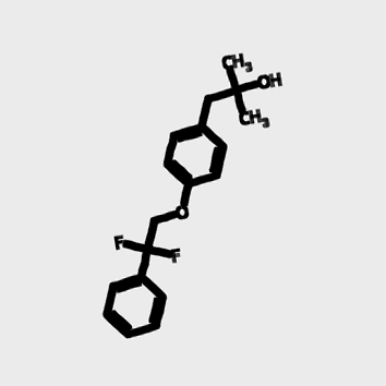 CC(C)(O)Cc1ccc(OCC(F)(F)c2ccccc2)cc1